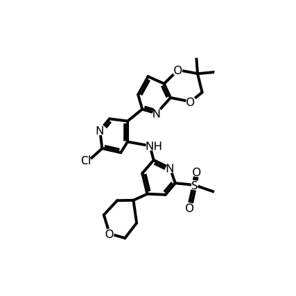 CC1(C)COc2nc(-c3cnc(Cl)cc3Nc3cc(C4CCOCC4)cc(S(C)(=O)=O)n3)ccc2O1